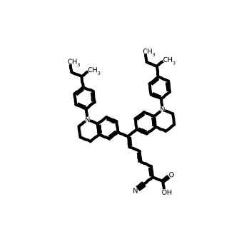 CCC(C)c1ccc(N2CCCc3cc(C(=C/C=C/C=C(\C#N)C(=O)O)c4ccc5c(c4)CCCN5c4ccc(C(C)CC)cc4)ccc32)cc1